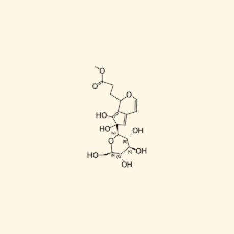 COC(=O)CCC1OC=CC2=CC(O)([C@@H]3O[C@H](CO)[C@@H](O)[C@H](O)[C@H]3O)C(O)=C21